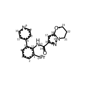 CC(C)c1cccc(-c2ccncc2)c1NC(=O)c1cc2n(n1)CCCO2